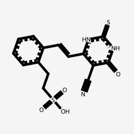 N#Cc1c(/C=C/c2ccccc2CCS(=O)(=O)O)[nH]c(=S)[nH]c1=O